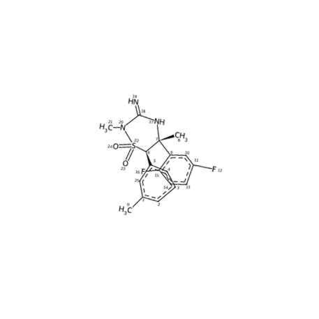 Cc1cccc([C@@H]2[C@@](C)(c3cc(F)ccc3F)NC(=N)N(C)S2(=O)=O)c1